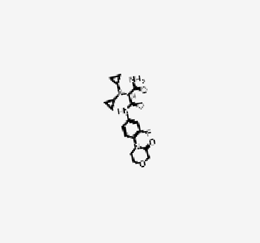 NC(=O)[C@@H](C(=O)Nc1ccc(N2CCOCC2=O)c(F)c1)N(C1CC1)C1CC1